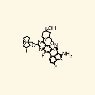 C[C@H]1CN2CCCC2(COc2nc3c4c(c(Cl)c(-c5ccc(F)c6sc(N)c(C#N)c56)c(F)c4n2)OCC2CC(C)(O)CCN32)C1